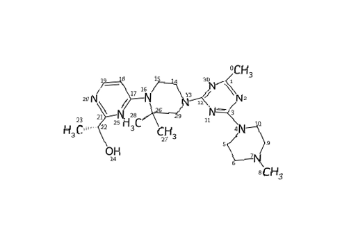 Cc1nc(N2CCN(C)CC2)nc(N2CCN(c3ccnc([C@@H](C)O)n3)C(C)(C)C2)n1